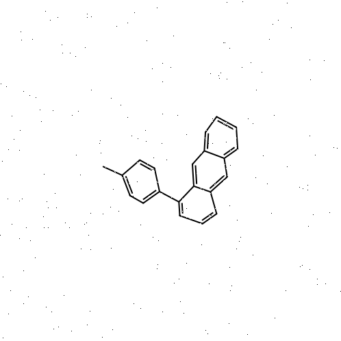 Cc1ccc(-c2cccc3cc4ccccc4cc23)cc1